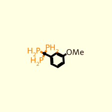 COc1cccc(C(P)(P)P)c1